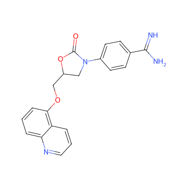 N=C(N)c1ccc(N2CC(COc3cccc4ncccc34)OC2=O)cc1